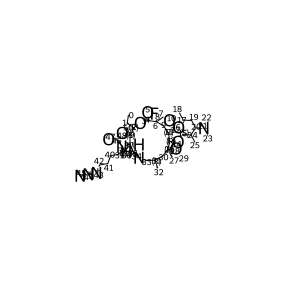 CC[C@H]1OC(=O)C(C)(F)C(=O)[C@H](C)[C@@H](O[C@@H]2OC(C)CC(N(C)C)C2C)[C@](C)(OC)C[C@@H](C)CN[C@H](C)[C@H]2N(CCCCN=[N+]=[N-])C(=O)O[C@]12C